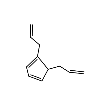 C=CCC1=CC=[C]C1CC=C